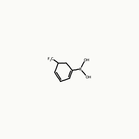 OB(O)C1=CC=CC(C(F)(F)F)C1